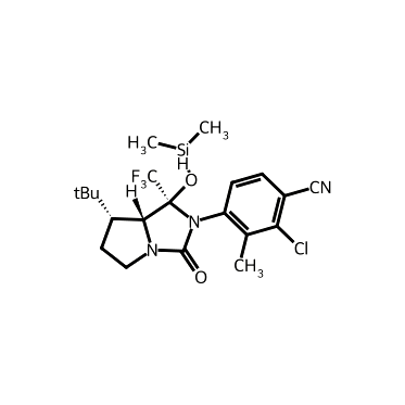 Cc1c(N2C(=O)N3CC[C@H](C(C)(C)C)[C@@H]3[C@]2(O[SiH](C)C)C(F)(F)F)ccc(C#N)c1Cl